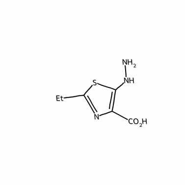 CCc1nc(C(=O)O)c(NN)s1